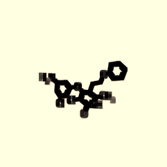 Cc1[nH]c(=O)c(Cl)c(Oc2cc(N)cc(Cl)c2)c1CCOc1ccccc1